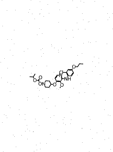 CCCOc1ccc(Nc2nccc(OC3CCN(OC(=O)OC(C)C)CC3)c2OC)c(Cl)c1